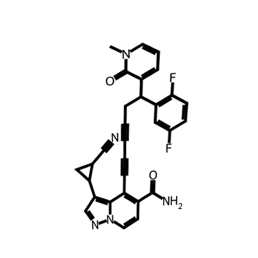 Cn1cccc(C(CC#CC#Cc2c(C(N)=O)ccn3ncc(C4CC4C#N)c23)c2cc(F)ccc2F)c1=O